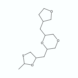 CC1OC(CC2COCC(CC3CCOC3)O2)CS1